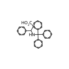 O=C(O)CC(NC(c1ccccc1)(c1ccccc1)c1ccccc1)c1ccccc1